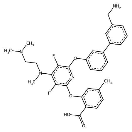 Cc1ccc(C(=O)O)c(Oc2nc(Oc3cccc(-c4cccc(CN)c4)c3)c(F)c(N(C)CCN(C)C)c2F)c1